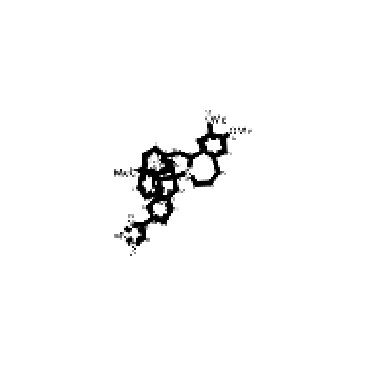 COc1ccc(CC2c3cc(OC)c(OC)cc3CCCN2C(Cc2ccc(-c3csnn3)cc2)(C(N)=O)c2ccccc2)cc1OC